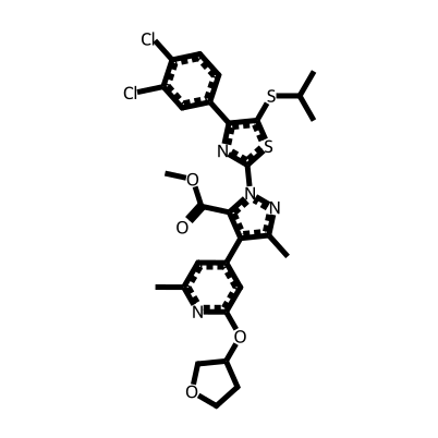 COC(=O)c1c(-c2cc(C)nc(OC3CCOC3)c2)c(C)nn1-c1nc(-c2ccc(Cl)c(Cl)c2)c(SC(C)C)s1